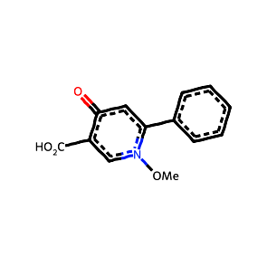 COn1cc(C(=O)O)c(=O)cc1-c1ccccc1